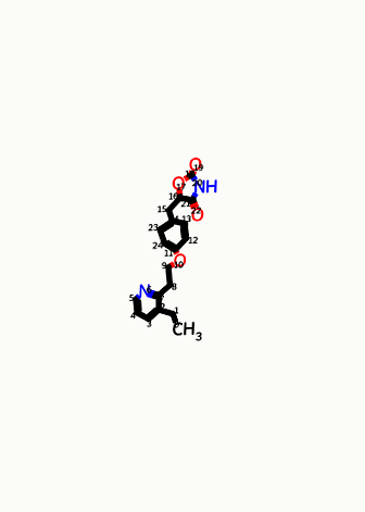 CCc1cccnc1CCOc1ccc(CC2OC(=O)NC2=O)cc1